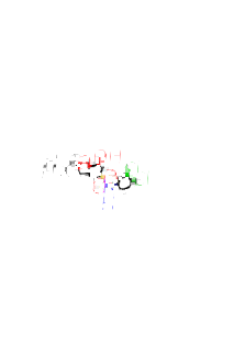 CC1(C)Cc2cc(S(=O)(=O)Nc3ccc(Cl)c(Cl)c3)cc(O)c2O1